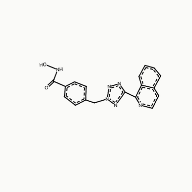 O=C(NO)c1ccc(Cn2nnc(-c3nccc4ccccc34)n2)cc1